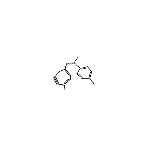 CC1=CC=C(C=C(C)c2ccc(C)cc2)CC#C1